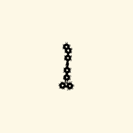 C(#Cc1ccc(-c2ccc3ccccc3c2)cc1)c1ccc(-c2ccc(-n3c4ccccc4c4ccccc43)cc2)cc1